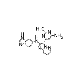 Cc1nc(N)cc(-c2c(Nc3ccc4nc[nH]c4c3)nc3cccnn23)n1